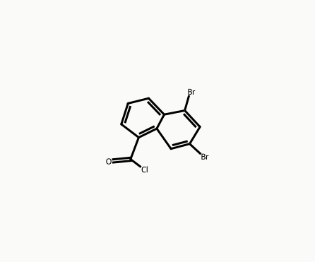 O=C(Cl)c1cccc2c(Br)cc(Br)cc12